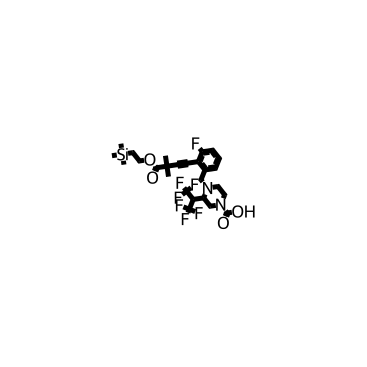 CC(C)(C#Cc1c(F)cccc1CN1CCN(C(=O)O)CC1C(C(F)(F)F)C(F)(F)F)C(=O)OCC[Si](C)(C)C